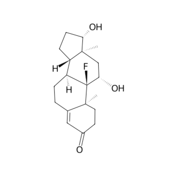 C[C@]12C[C@H](O)[C@@]3(F)[C@@H](CCC4=CC(=O)CC[C@@]43C)[C@@H]1CC[C@@H]2O